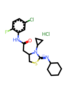 Cl.O=C(CC1CS/C(=N\C2CCCCC2)N1C1CC1)Nc1cc(Cl)ccc1F